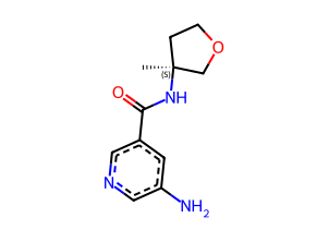 C[C@]1(NC(=O)c2cncc(N)c2)CCOC1